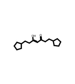 O=C(/C=C(\O)CCC1CCCC1)CCC1CCCC1